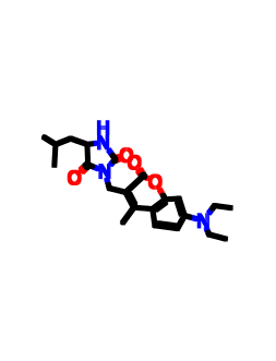 CCN(CC)c1ccc2c(C)c(CN3C(=O)NC(CC(C)C)C3=O)c(=O)oc2c1